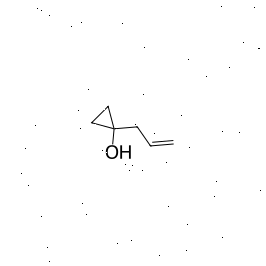 C=CCC1(O)CC1